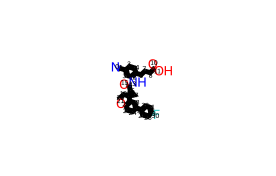 N#Cc1ccc(CCCC(=O)O)c(NC(=O)C2CC23CCOc2ccc(-c4ccc(F)cc4)cc23)c1